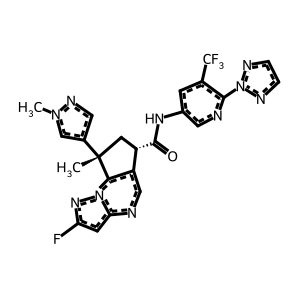 Cn1cc([C@]2(C)C[C@H](C(=O)Nc3cnc(-n4nccn4)c(C(F)(F)F)c3)c3cnc4cc(F)nn4c32)cn1